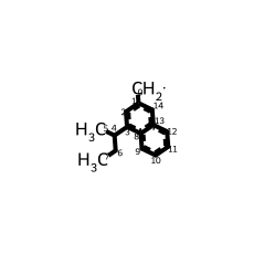 [CH2]c1cc(C(C)CC)c2ccccc2c1